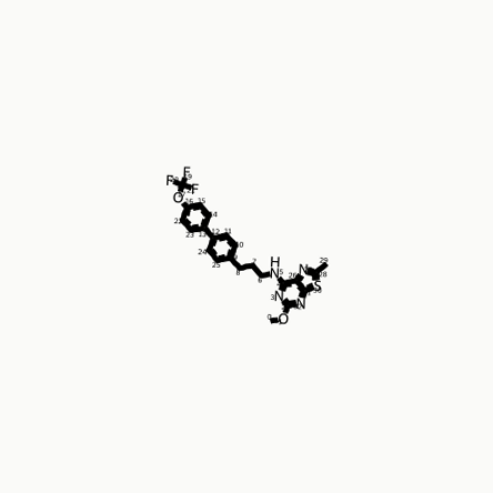 COc1nc(NCCCc2ccc(-c3ccc(OC(F)(F)F)cc3)cc2)c2nc(C)sc2n1